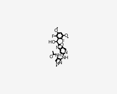 COc1cc(OC)c(F)c(C(O)c2nc3cc(Nc4nn(C)cc4NC(C)=O)ncc3o2)c1F